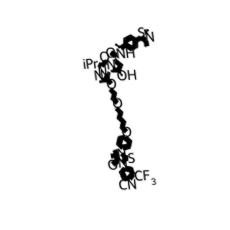 Cc1ncsc1-c1ccc([C@H](C)NC(=O)[C@@H]2C[C@@H](O)CN2C(=O)C(C(C)C)n2cc(OCCCOCCCCCOc3ccc(N4C(=S)N(c5ccc(C#N)c(C(F)(F)F)c5)C(=O)C4(C)C)cc3)cn2)cc1